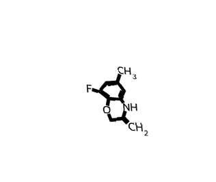 C=C1COc2c(F)cc(C)cc2N1